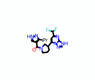 CC(C)c1n[nH]cc1C(=O)N1CCCC(C2=CC(C(F)F)=NC3NC=NN23)C1